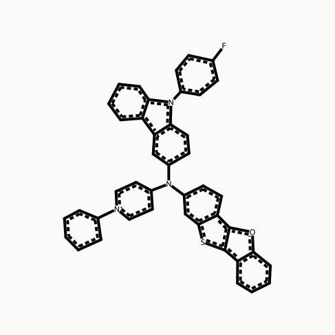 Fc1ccc(-n2c3ccccc3c3cc(N(c4cc[n+](-c5ccccc5)cc4)c4ccc5c(c4)sc4c6ccccc6oc54)ccc32)cc1